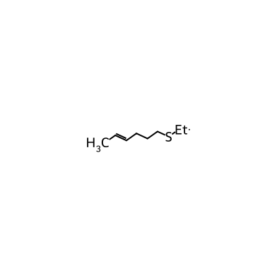 C[CH]SCCC/C=C/C